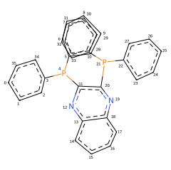 c1ccc(P(c2ccccc2)c2nc3ccccc3nc2P(c2ccccc2)c2ccccc2)cc1